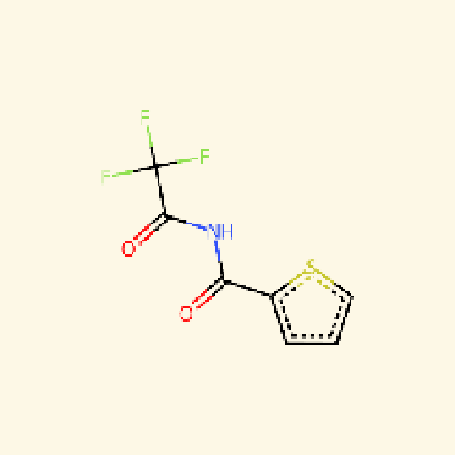 O=C(NC(=O)C(F)(F)F)c1cccs1